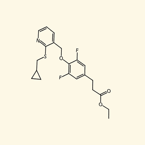 CCOC(=O)CCc1cc(F)c(OCc2cccnc2SCC2CC2)c(F)c1